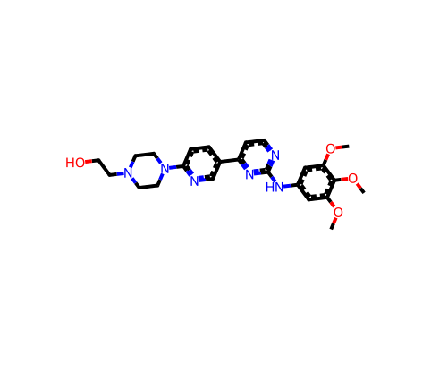 COc1cc(Nc2nccc(-c3ccc(N4CCN(CCO)CC4)nc3)n2)cc(OC)c1OC